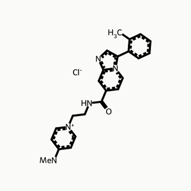 CNc1cc[n+](CCNC(=O)c2ccn3c(-c4ccccc4C)cnc3c2)cc1.[Cl-]